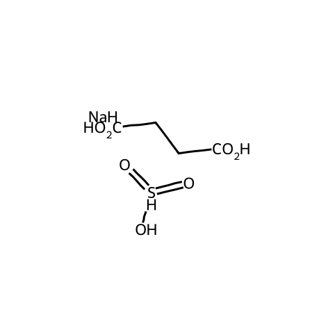 O=C(O)CCC(=O)O.O=[SH](=O)O.[NaH]